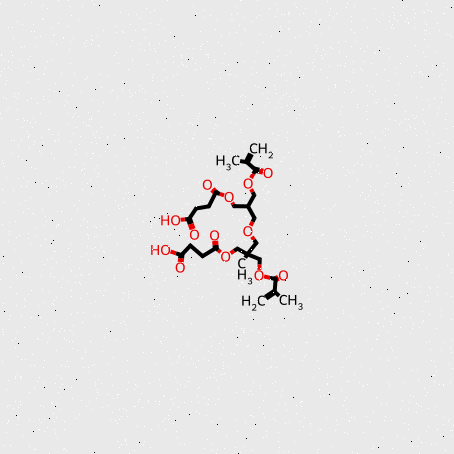 C=C(C)C(=O)OCC(COCC(C)(COC(=O)CCC(=O)O)COC(=O)C(=C)C)COC(=O)CCC(=O)O